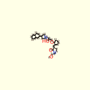 COCCN1CCC(=Cc2ccccc2OC[C@@H](O)CN2CCC(c3ccc4ccccc4c3)CC2)C1=O